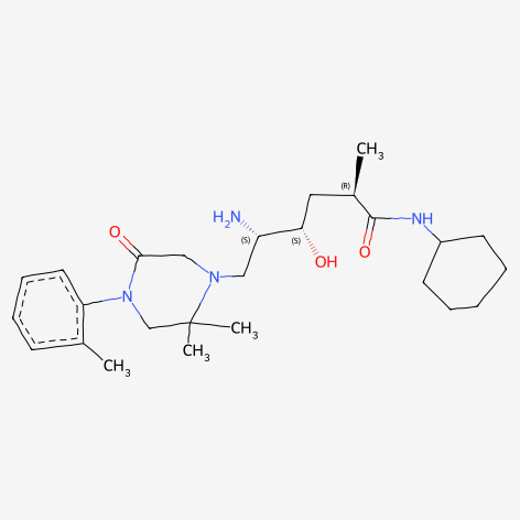 Cc1ccccc1N1CC(C)(C)N(C[C@H](N)[C@@H](O)C[C@@H](C)C(=O)NC2CCCCC2)CC1=O